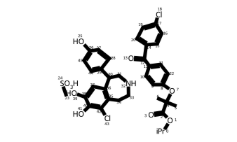 CC(C)OC(=O)C(C)(C)Oc1ccc(C(=O)c2ccc(Cl)cc2)cc1.CS(=O)(=O)O.Oc1ccc(C2CNCCc3c2cc(O)c(O)c3Cl)cc1